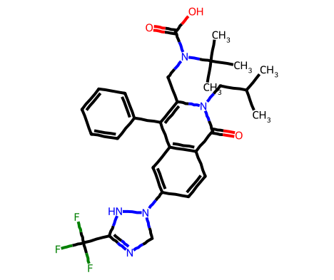 CC(C)Cn1c(CN(C(=O)O)C(C)(C)C)c(-c2ccccc2)c2cc(N3CN=C(C(F)(F)F)N3)ccc2c1=O